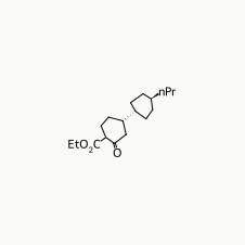 CCC[C@H]1CC[C@H](C2CCC(C(=O)OCC)C(=O)C2)CC1